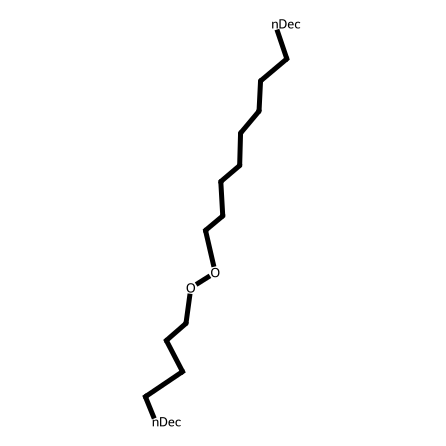 CCCCCCCCCCCCCCCCCCOOCCCCCCCCCCCCCC